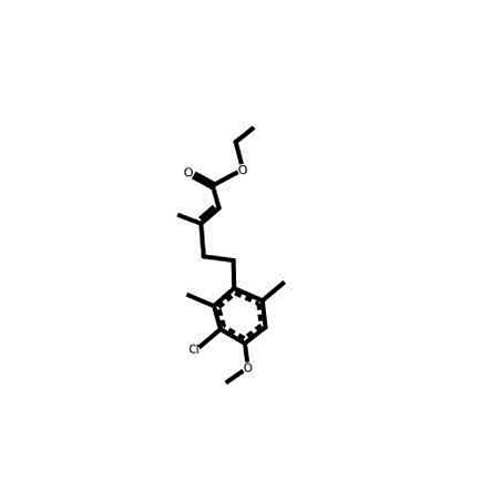 CCOC(=O)C=C(C)CCc1c(C)cc(OC)c(Cl)c1C